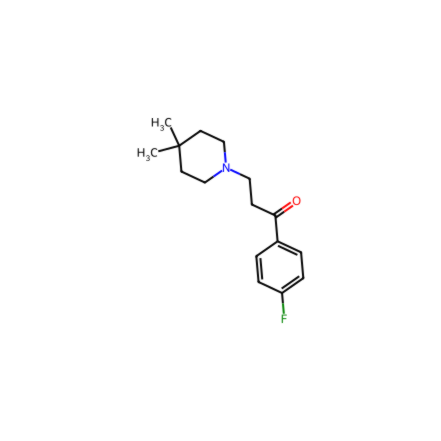 CC1(C)CCN(CCC(=O)c2ccc(F)cc2)CC1